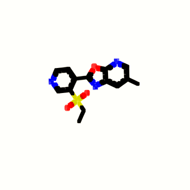 CCS(=O)(=O)c1cnccc1-c1nc2cc(C)cnc2o1